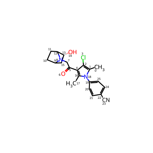 Cc1c(Cl)c(C(=O)CN2C3CCC2[C@H](O)C3)c(C)n1-c1ccc(C#N)cc1